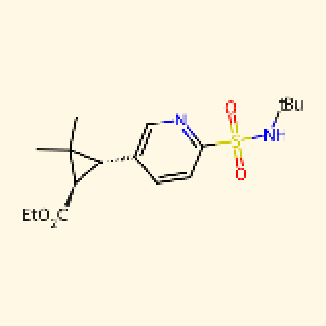 CCOC(=O)[C@@H]1[C@@H](c2ccc(S(=O)(=O)NC(C)(C)C)nc2)C1(C)C